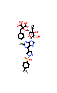 C#C[C@@]1(O)[C@@H](COC(Cc2ccccc2)(C(=O)O)C(=O)O)O[C@@H](n2cnc3c(-c4cnn(S(=O)(=O)c5ccc(C)cc5)c4)nc(Cl)nc32)[C@@H]1O